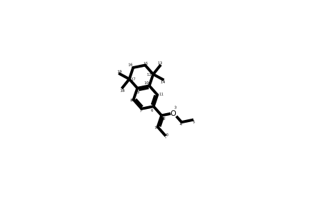 [CH2]C=C(OCC)c1ccc2c(c1)C(C)(C)CCC2(C)C